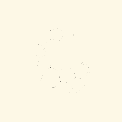 Cc1ccc2cccnc2c1N1CCCN(Cc2csc(N3CC[C@H](O)C3)n2)CC1